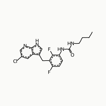 CCCCNC(=O)Nc1ccc(F)c(Cc2c[nH]c3ncc(Cl)cc23)c1F